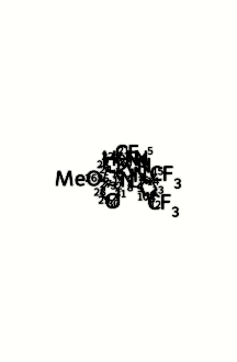 C=C(/N=N\N(C)N)N(Cc1cc(C(F)(F)F)cc(C(F)(F)F)c1)Cc1cc(C(F)(F)F)ccc1C(OC)C1CCOCC1